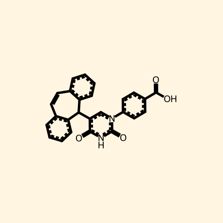 O=C(O)c1ccc(-n2cc(C3c4ccccc4C=Cc4ccccc43)c(=O)[nH]c2=O)cc1